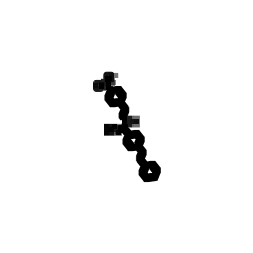 N=C(NC=Cc1ccc([N+](=O)[O-])cc1)c1ccc(C=Cc2ccccc2)cc1